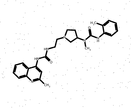 Cc1cc(NC(=O)NCCN2CCC(N(C)C(=O)Nc3ccccc3C)C2)c2ccccc2n1